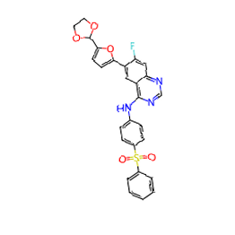 O=S(=O)(c1ccccc1)c1ccc(Nc2ncnc3cc(F)c(-c4ccc(C5OCCO5)o4)cc23)cc1